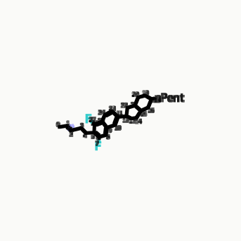 C/C=C/CCc1c(F)cc2cc(C3CCC4CC(CCCCC)CCC4C3)ccc2c1F